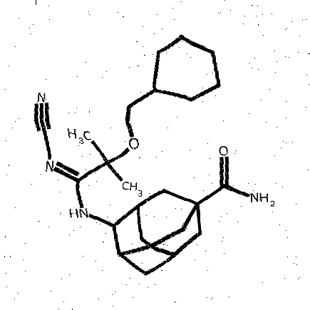 CC(C)(OCC1CCCCC1)/C(=N\C#N)NC1C2CC3CC1CC(C(N)=O)(C3)C2